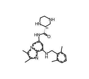 Cc1cccc(C)c1CNc1cc(NC(=O)[C@H]2CNCCN2)cn2c(C)c(C)nc12